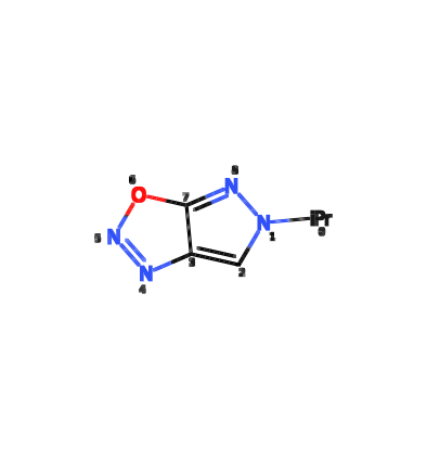 CC(C)n1cc2nnoc2n1